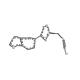 CCC#CCn1nnc(-c2ccc3occc3c2)n1